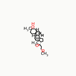 COCCC(=O)[C@H]1CC[C@H]2[C@@H]3CC[C@H]4C[C@](C)(O)CC[C@]4(C)[C@H]3CC[C@]12C